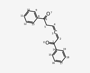 O=C(C=C=CCC(=O)c1ccccc1)c1ccccc1